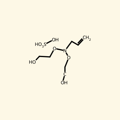 C=CCN(OCCO)OCCO.O=S(=O)(O)O